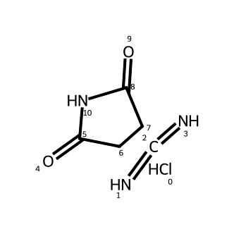 Cl.N=C=N.O=C1CCC(=O)N1